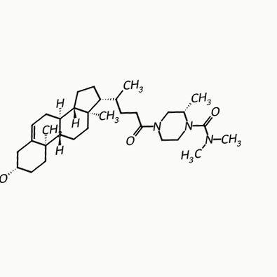 CC(CCC(=O)N1CCN(C(=O)N(C)C)[C@@H](C)C1)[C@H]1CC[C@H]2[C@@H]3CC=C4C[C@@H](O)CC[C@]4(C)[C@H]3CC[C@]12C